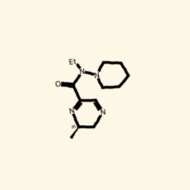 CCN(C(=O)C1=N[C@H](C)CN=C1)N1CCCCC1